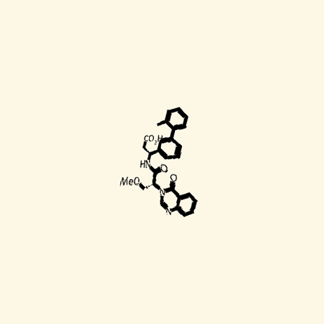 COC[C@H](C(=O)N[C@@H](CC(=O)O)c1cccc(-c2ccccc2C)c1)n1cnc2ccccc2c1=O